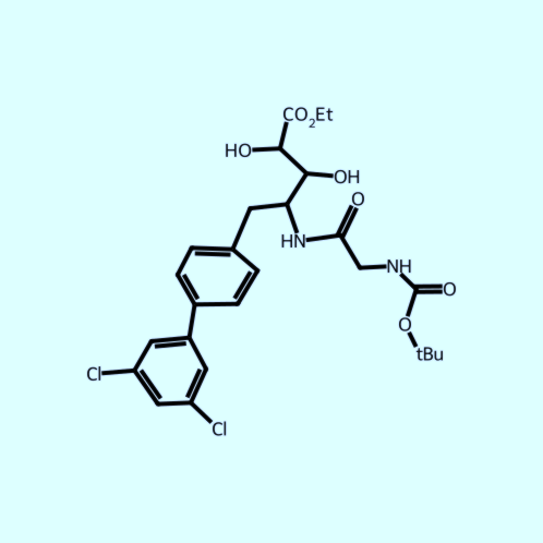 CCOC(=O)C(O)C(O)C(Cc1ccc(-c2cc(Cl)cc(Cl)c2)cc1)NC(=O)CNC(=O)OC(C)(C)C